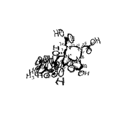 CCC(NC(=O)C(O)[N+]1(CC(=O)O)CCN(CC(=O)O)CCN(CC(=O)O)CCN(CC(=O)O)CC1)(P(=O)(O)O)P(=O)(O)O